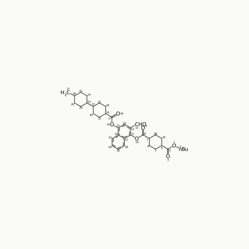 CCCCOC(=O)C1CCC(C(=O)Oc2c(C=O)cc(OC(=O)C3CCC(C4CCC(C)CC4)CC3)c3ccccc23)CC1